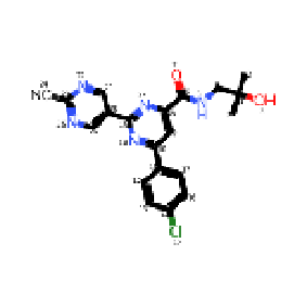 CC(C)(O)CNC(=O)c1cc(-c2ccc(Cl)cc2)nc(-c2cnc(C#N)nc2)n1